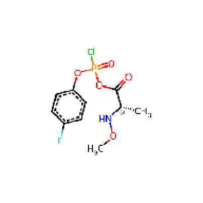 CON[C@@H](C)C(=O)OP(=O)(Cl)Oc1ccc(F)cc1